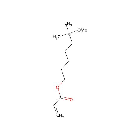 C=CC(=O)OCCCCC[Si](C)(C)OC